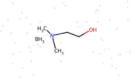 B.CN(C)CCO